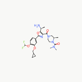 C[C@H](N)c1oc(-c2ccc(OC(F)F)c(OCC3CC3)c2)nc1C(=O)N1CCN(C(=O)N(C)C)[C@H](C)C1